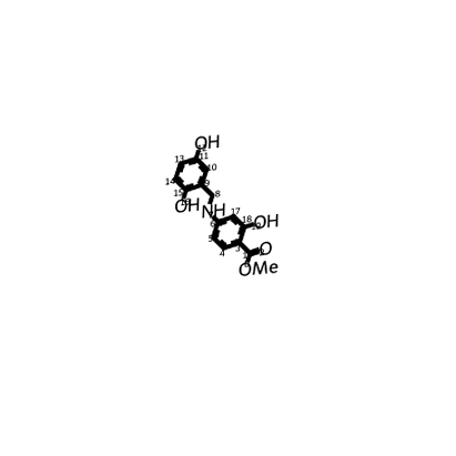 COC(=O)c1ccc(NCc2cc(O)ccc2O)cc1O